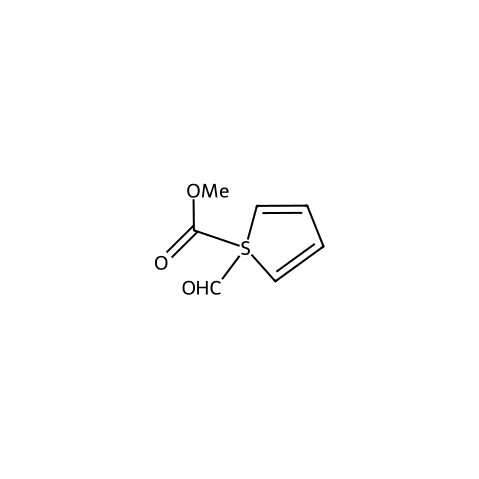 COC(=O)S1(C=O)C=CC=C1